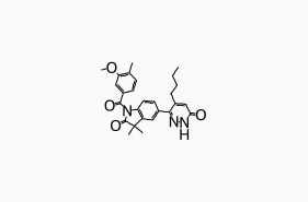 CCCCc1cc(=O)[nH]nc1-c1ccc2c(c1)C(C)(C)C(=O)N2C(=O)c1ccc(C)c(OC)c1